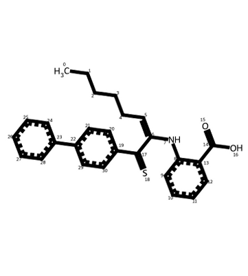 CCCCCC=C(Nc1ccccc1C(=O)O)C(=S)c1ccc(-c2ccccc2)cc1